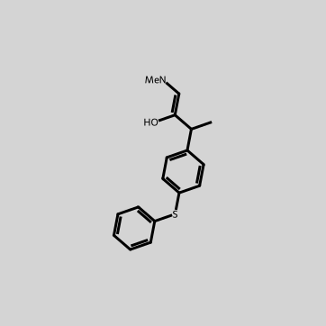 CNC=C(O)C(C)c1ccc(Sc2ccccc2)cc1